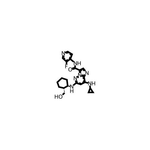 O=C(Nc1ccncc1F)c1cnc2c(NC3CC3)cc(N[C@@H]3CCCC[C@H]3CO)nn12